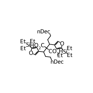 CCCCCCCCCCCCC(c1coc([Si](CC)(CC)CC)c1)C(C(=O)O)(C(=O)O)C(CCCCCCCCCCCC)c1coc([Si](CC)(CC)CC)c1